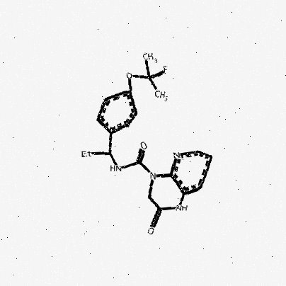 CCC(NC(=O)N1CC(=O)Nc2cccnc21)c1ccc(OC(C)(C)F)cc1